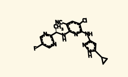 C[C@H](Nc1nc(Nc2cc(C3CC3)[nH]n2)c(Cl)cc1C#N)c1ncc(F)cn1